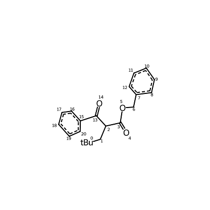 CC(C)(C)CC(C(=O)OCc1ccccc1)C(=O)c1ccccc1